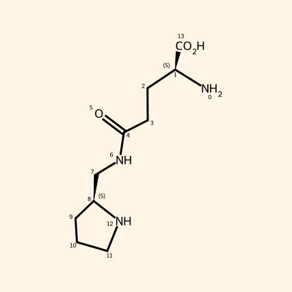 N[C@@H](CCC(=O)NC[C@@H]1CCCN1)C(=O)O